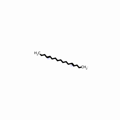 [CH2]CC/C=C/CCCCCCC/C=C/CCC